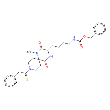 CCCN1C(=O)[C@H](CCCCNC(=O)OCc2ccccc2)NC(=O)C12CCN(C(=S)Cc1ccccc1)CC2